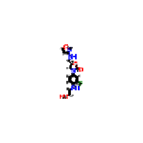 O=C1O[C@@H](CNc2ccon2)CN1c1ccc(NCCO)c(F)c1